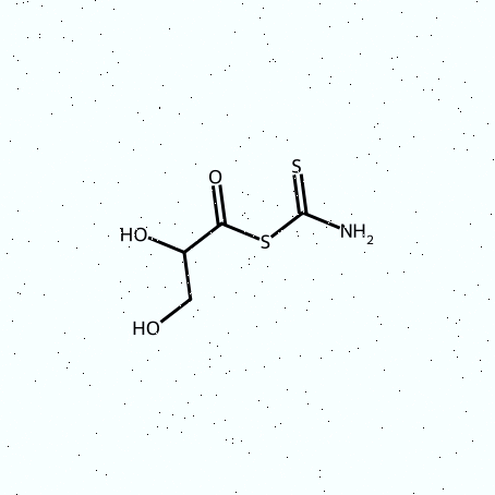 NC(=S)SC(=O)C(O)CO